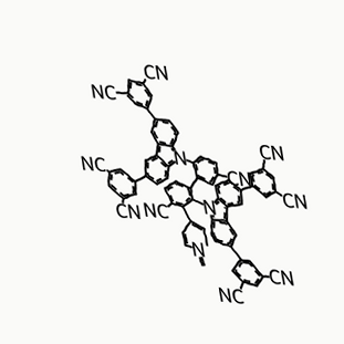 C=N/C=C\C(=C/C)c1c(C#N)ccc(-c2cc(C#N)ccc2-n2c3ccc(-c4cc(C#N)cc(C#N)c4)cc3c3cc(-c4cc(C#N)cc(C#N)c4)ccc32)c1-n1c2ccc(-c3cc(C#N)cc(C#N)c3)cc2c2cc(-c3cc(C#N)cc(C#N)c3)ccc21